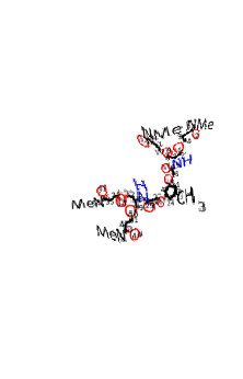 CNC(=O)CCOCC(COCCC(=O)NC)NC(=O)COc1cc(C)cc(OCC(=O)NC(COCCC(=O)NC)COCCC(=O)NC)c1